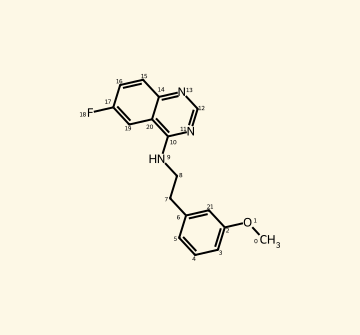 COc1cccc(CCNc2ncnc3ccc(F)cc23)c1